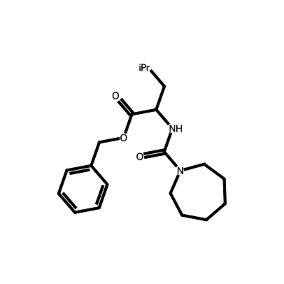 CC(C)CC(NC(=O)N1CCCCCC1)C(=O)OCc1ccccc1